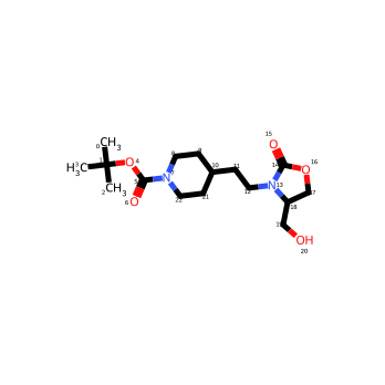 CC(C)(C)OC(=O)N1CCC(CCN2C(=O)OCC2CO)CC1